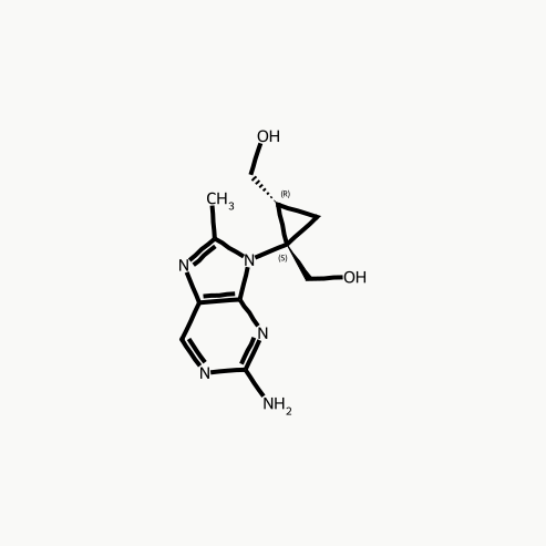 Cc1nc2cnc(N)nc2n1[C@@]1(CO)C[C@H]1CO